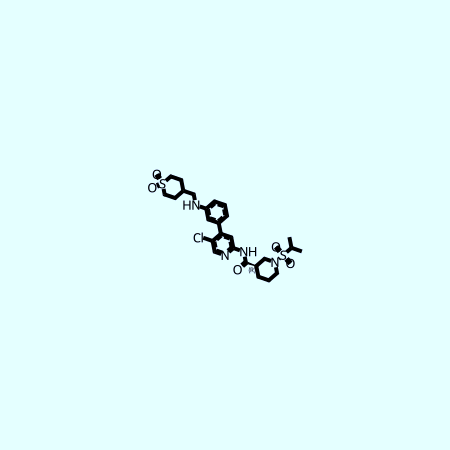 CC(C)S(=O)(=O)N1CCC[C@@H](C(=O)Nc2cc(-c3cccc(NCC4CCS(=O)(=O)CC4)c3)c(Cl)cn2)C1